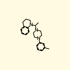 Cc1cccc(N2CCN(C(C)N3CCCc4ccccc43)CC2)c1